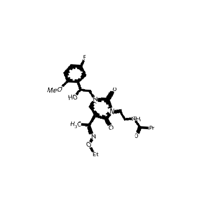 CCON=C(C)c1cn(CC(O)c2cc(F)ccc2OC)c(=O)n(CCNC(=O)C(C)C)c1=O